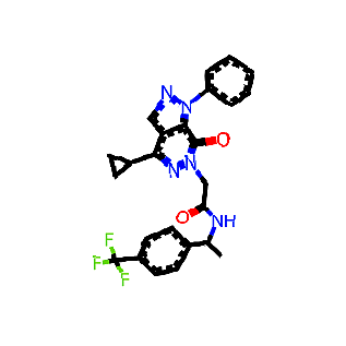 CC(NC(=O)Cn1nc(C2CC2)c2cnn(-c3ccccc3)c2c1=O)c1ccc(C(F)(F)F)cc1